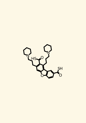 O=C(S)c1ccc2oc3cc(CCCN4CCCCC4)c(C(=O)S)c(CCCN4CCCCC4)c3c2c1